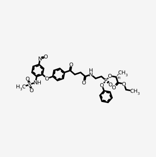 CCOC(=O)[C@@H](C)OP(=O)(CCNC(=O)CCC(=O)c1ccc(Oc2cc(N=O)ccc2NS(C)(=O)=O)cc1)Oc1ccccc1